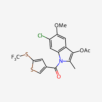 COc1cc2c(OC(C)=O)c(C)n(C(=O)c3csc(SC(F)(F)F)c3)c2cc1Cl